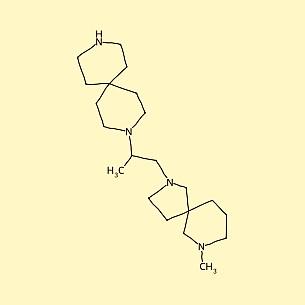 CC(CN1CCC2(CCCN(C)C2)C1)N1CCC2(CCNCC2)CC1